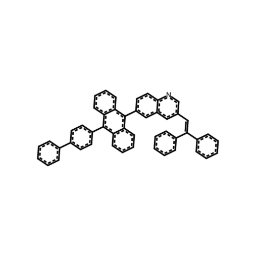 C(=C(c1ccccc1)c1ccccc1)c1cnc2ccc(-c3c4ccccc4c(-c4ccc(-c5ccccc5)cc4)c4ccccc34)cc2c1